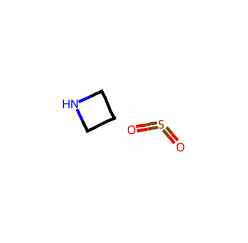 C1CNC1.O=S=O